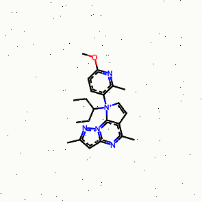 CCC(CC)[N+]1(c2ccc(OC)nc2C)C=Cc2c(C)nc3cc(C)nn3c21